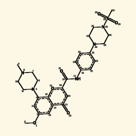 COc1cc(N2CCN(C)CC2)c2oc(C(=O)Nc3ccc(N4CCN(S(C)(=O)=O)CC4)cc3)cc(=O)c2c1